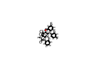 CN1C(=O)/C(=N\C(C(Cl)C(Cl)(Cl)Cl)N(c2ccc(F)cc2F)c2ccc(F)cc2F)N(c2ccccc2F)C1=O